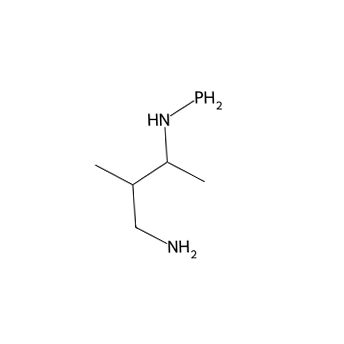 CC(CN)C(C)NP